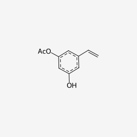 C=Cc1cc(O)cc(OC(C)=O)c1